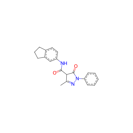 CC1=NN(c2ccccc2)C(=O)C1C(=O)Nc1ccc2c(c1)CCC2